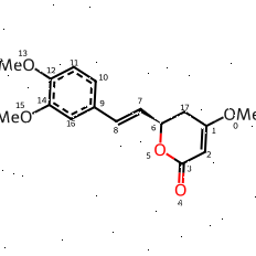 COC1=CC(=O)O[C@@H](/C=C/c2ccc(OC)c(OC)c2)C1